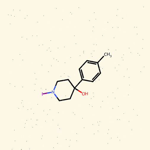 Cc1ccc(C2(O)CCN(I)CC2)cc1